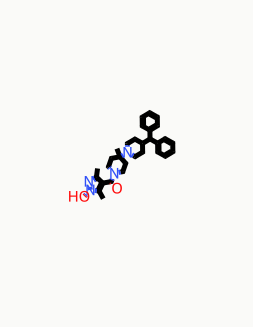 Cc1nn(O)c(C)c1C(=O)N1CCC(C)(N2CCC(C(c3ccccc3)c3ccccc3)CC2)CC1